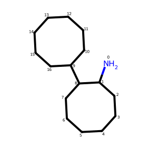 NC1CCCCCCC1C1CCCCCCC1